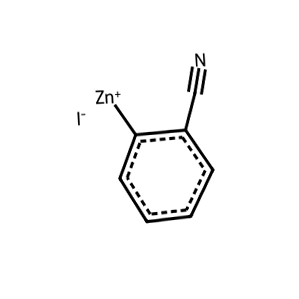 N#Cc1cccc[c]1[Zn+].[I-]